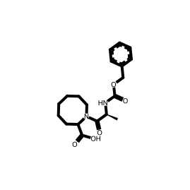 C[C@H](NC(=O)OCc1ccccc1)C(=O)N1CCCCCCC1C(=O)O